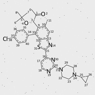 CC(=O)[C@@H](OC(C)(C)C)c1c(C)cc2nc(-c3ccnc(N4CCN(C5CC5)CC4)n3)sc2c1-c1ccc(Cl)cc1